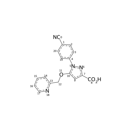 N#Cc1ccc(-n2nc(C(=O)O)cc2OCc2ccccn2)cc1